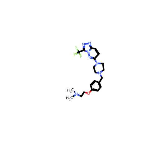 CN(C)CCOc1ccc(CN2CCN(c3ccc4nnc(C(F)(F)F)n4n3)CC2)cc1